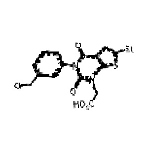 CCc1cc2c(=O)n(-c3cccc(CCl)c3)c(=O)n(CC(=O)O)c2s1